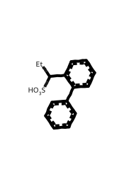 CCC(c1ccccc1-c1ccccc1)S(=O)(=O)O